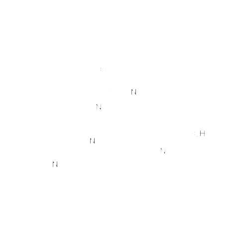 Cc1nc2c3c(nc(=O)n(I)c3c1F)N1CCN(I)CC1C=C2